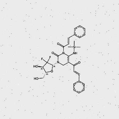 C[Si](C)(C)NC1=C(C(=O)C=Cc2ccccc2)CN([C@@H]2O[C@H](CO)[C@@H](O)C2(F)F)C(=O)N1C(=O)C=Cc1ccccc1